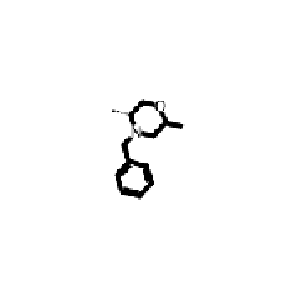 CC1CN(Cc2ccccc2)[C@H](C)CO1